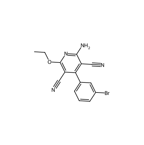 CCOc1nc(N)c(C#N)c(-c2cccc(Br)c2)c1C#N